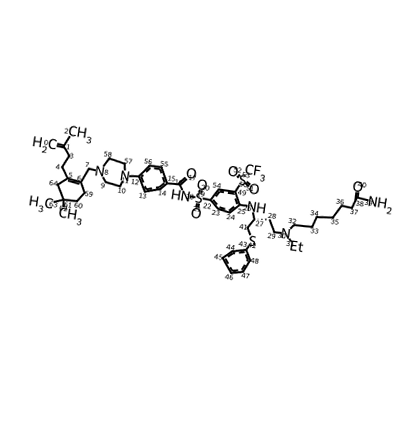 C=C(C)CCC1=C(CN2CCN(c3ccc(C(=O)NS(=O)(=O)c4ccc(N[C@H](CCN(CC)CCCCCCC(N)=O)CSc5ccccc5)c(S(=O)(=O)C(F)(F)F)c4)cc3)CC2)CCC(C)(C)C1